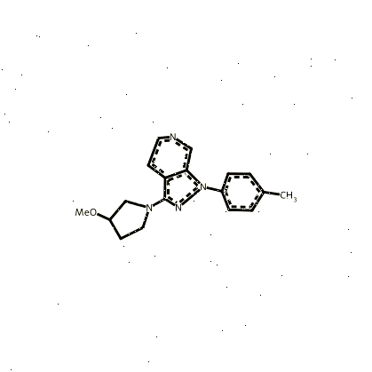 COC1CCN(c2nn(-c3ccc(C)cc3)c3cnccc23)C1